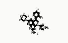 CC(c1ncc(F)cc1F)c1cc(N2CCOCC2)nc2nc(N)nc(Nc3cn(C)cn3)c12